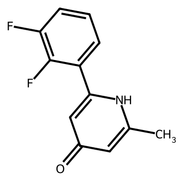 Cc1cc(=O)cc(-c2cccc(F)c2F)[nH]1